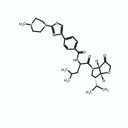 CC(C)CC(NC(=O)c1ccc(-c2csc(N3CCN(C)CC3)n2)cc1)C(=O)N1C[C@@H](C(C)C)[C@H]2OCC(=O)[C@H]21